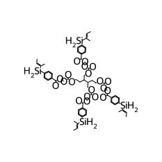 C/C=C(\C)[SiH2]c1ccc(C(=O)OOC(=O)OCCC(COC(=O)OOC(=O)c2ccc([SiH2]/C(C)=C/C)cc2)C(CCOC(=O)OOC(=O)c2ccc([SiH2]/C(C)=C/C)cc2)COC(=O)OOC(=O)c2ccc([SiH2]/C(C)=C/C)cc2)cc1